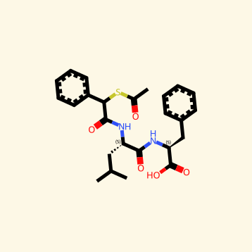 CC(=O)SC(C(=O)N[C@@H](CC(C)C)C(=O)N[C@@H](Cc1ccccc1)C(=O)O)c1ccccc1